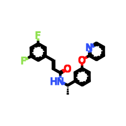 C[C@H](NC(=O)/C=C/c1cc(F)cc(F)c1)c1cccc(Oc2ccccn2)c1